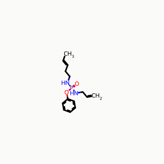 C=CCNP(=O)(NCC/C=C/C)Oc1ccccc1